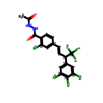 CC(=O)NNC(=O)c1ccc(/C=C/C(c2cc(Cl)c(Cl)c(Cl)c2)C(F)(F)F)cc1Br